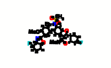 CCN(c1cc2oc(-c3ccc(F)cc3)c(C(=O)NC)c2cc1-c1ccc(OC)c(-c2nc3c(F)cccc3o2)c1)S(C)(=O)=O